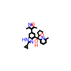 Cc1cccc(C(O)(C2=C3N=C(C4CC4)NC3CC(c3c(C)noc3C)=C2)C2CCCO2)n1